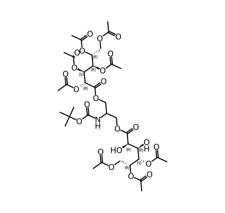 CC(=O)OC[C@@H](OC(C)=O)[C@@H](OC(C)=O)[C@H](O)[C@@H](O)C(=O)OCC(COC(=O)[C@H](OC(C)=O)[C@@H](OC(C)=O)[C@H](OC(C)=O)[C@@H](COC(C)=O)OC(C)=O)NC(=O)OC(C)(C)C